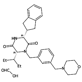 CCC(CC)[C@@H]1C(=O)N[C@H](C2Cc3ccccc3C2)C(=O)N1Cc1cccc(CN2CCOCC2)c1.O=CO